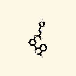 O=C(/C=C/c1c[nH]cn1)Nc1cccc(-c2n[nH]c(=O)c3ccccc23)c1